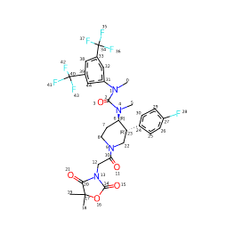 CN(C(=O)N(C)[C@@H]1CCN(C(=O)CN2C(=O)OC(C)(C)C2=O)C[C@H]1c1ccc(F)cc1)c1cc(C(F)(F)F)cc(C(F)(F)F)c1